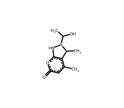 Cc1cc(=O)oc2c1C(C)N(C(C)O)N2